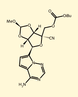 CO[C@@H]1O[C@H]2[C@H](c3ccc4c(N)ncnn34)O[C@](C#N)(COC(=O)OCC(C)C)[C@H]2O1